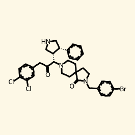 O=C(Cc1ccc(Cl)c(Cl)c1)C([C@@H]1CNC[C@@H]1c1ccccc1)N1CCC2(CCN(Cc3ccc(Br)cc3)C2=O)CC1